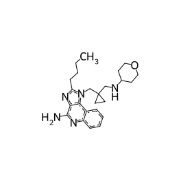 CCCCc1nc2c(N)nc3ccccc3c2n1CC1(CNC2CCOCC2)CC1